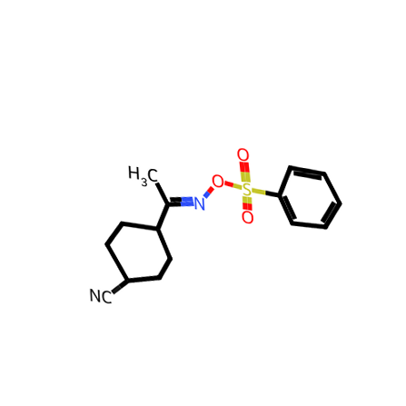 C/C(=N\OS(=O)(=O)c1ccccc1)C1CCC(C#N)CC1